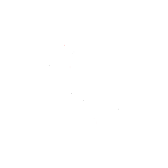 CC(=O)OC(CC(C)(C)C(C)(C)C(O)CC(C)(C)C)C(C)(C)C